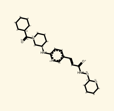 O=C(C=Cc1ccc(N[C@@H]2CCCN(C(=O)C3CCCCC3)C2)nc1)NOC1CCCCO1